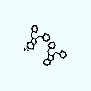 C1=C(Cc2ccccc2)C(Cc2ccccc2)c2ccccc21.C1=C(Cc2ccccc2)C(Cc2ccccc2)c2ccccc21.[Pd]